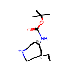 CC[C@H]1CCNC[C@@H]1NC(=O)OC(C)(C)C